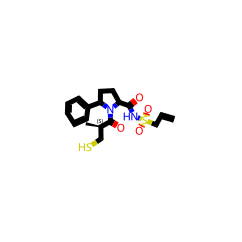 C=CCS(=O)(=O)NC(=O)C1CCC(c2ccccc2)N1C(=O)[C@H](C)CS